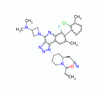 C=CC(=O)N1CC[C@H](n2nnc3c(N4CC(N(C)C)C4)nc4c(F)c(-c5cccc(C)c5Cl)c(C)cc4c32)C[C@H]1CC#N